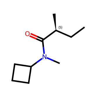 CC[C@H](C)C(=O)N(C)C1CCC1